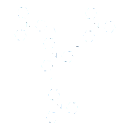 C(=Cc1cccc(N(c2cccc(C=Cc3ccc(N(c4ccccc4)c4ccccc4)cc3)c2)c2cccc(C=Cc3ccc(N(c4ccccc4)c4ccccc4)cc3)c2)c1)c1ccc(N(c2ccccc2)c2ccccc2)cc1